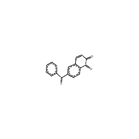 O=C1C=Cc2cc(C(=O)c3ccccc3)ccc2C1=O